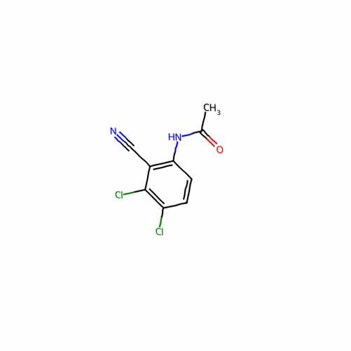 CC(=O)Nc1ccc(Cl)c(Cl)c1C#N